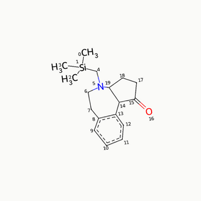 C[Si](C)(C)CN1CCc2ccccc2C2C(=O)CCC21